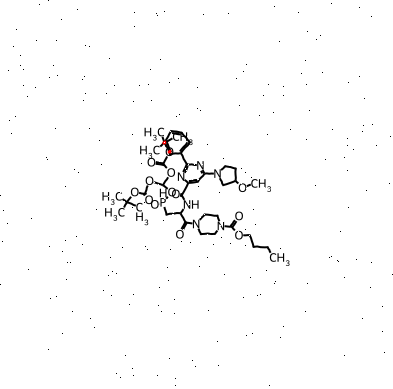 CCCCOC(=O)N1CCN(C(=O)C(C[PH](=O)OC(OC(=O)OC(C)(C)C)OC(=O)OC(C)(C)C)NC(=O)c2cc(N3CCC(OC)C3)nc(-c3ccccc3)n2)CC1